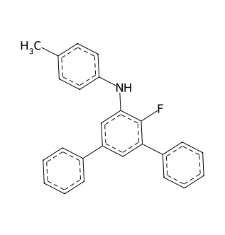 Cc1ccc(Nc2cc(-c3ccccc3)cc(-c3ccccc3)c2F)cc1